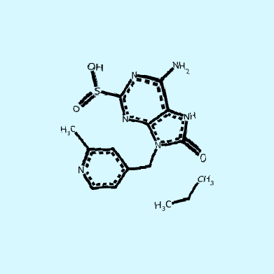 CCC.Cc1cc(Cn2c(=O)[nH]c3c(N)nc(S(=O)O)nc32)ccn1